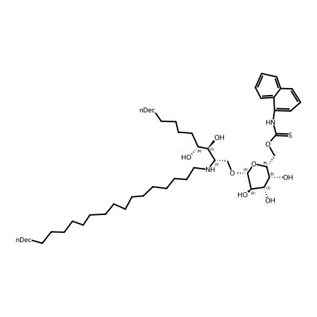 CCCCCCCCCCCCCCCCCCCCCCCCCCN[C@@H](CO[C@@H]1O[C@H](COC(=S)Nc2cccc3ccccc23)[C@H](O)[C@H](O)[C@H]1O)[C@H](O)[C@H](O)CCCCCCCCCCCCCC